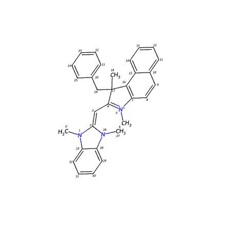 CN1C(=CC2=[N+](C)c3ccc4ccccc4c3C2(C)Cc2ccccc2)N(C)c2ccccc21